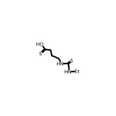 CCNC(=S)NCCCC(O)=S